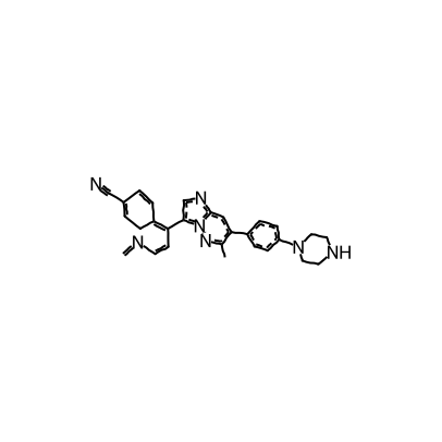 C=N/C=C\C(=C1\C=CC(C#N)=CC1)c1cnc2cc(-c3ccc(N4CCNCC4)cc3)c(C)nn12